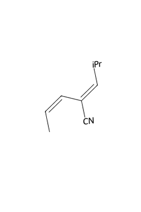 C/C=C\C(C#N)=C/C(C)C